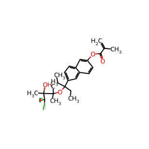 C=C(C)C(=O)Oc1ccc2cc(C(CC)(CC)OC(C)(C)C(C)(O)C(F)(F)F)ccc2c1